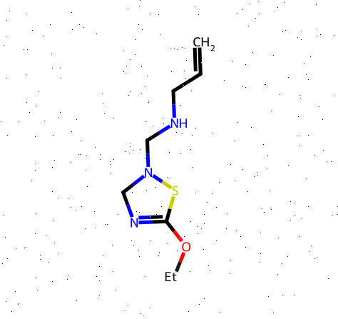 C=CCNCN1CN=C(OCC)S1